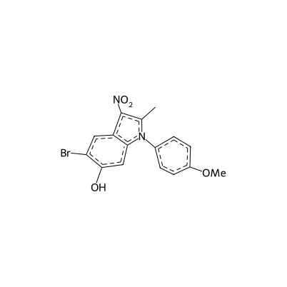 COc1ccc(-n2c(C)c([N+](=O)[O-])c3cc(Br)c(O)cc32)cc1